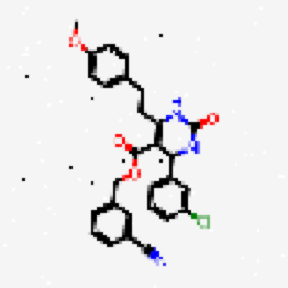 COc1ccc(CCC2=C(C(=O)OCc3cccc(C#N)c3)C(c3cccc(Cl)c3)NC(=O)N2)cc1